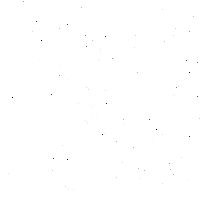 Cc1cc(C=O)cc(CN2CCN(c3nc4ccc(I)cc4s3)CC2)c1